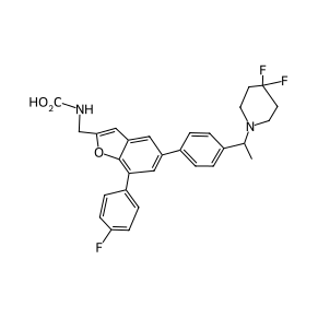 CC(c1ccc(-c2cc(-c3ccc(F)cc3)c3oc(CNC(=O)O)cc3c2)cc1)N1CCC(F)(F)CC1